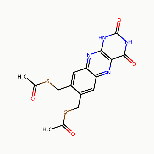 CC(=O)SCc1cc2nc3[nH]c(=O)[nH]c(=O)c3nc2cc1CSC(C)=O